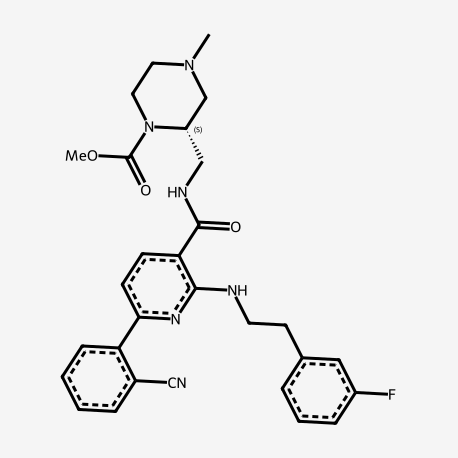 COC(=O)N1CCN(C)C[C@@H]1CNC(=O)c1ccc(-c2ccccc2C#N)nc1NCCc1cccc(F)c1